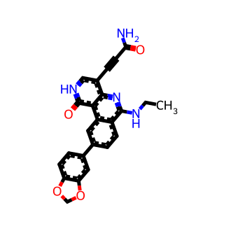 CCNc1nc2c(C#CC(N)=O)c[nH]c(=O)c2c2cc(-c3ccc4c(c3)OCO4)ccc12